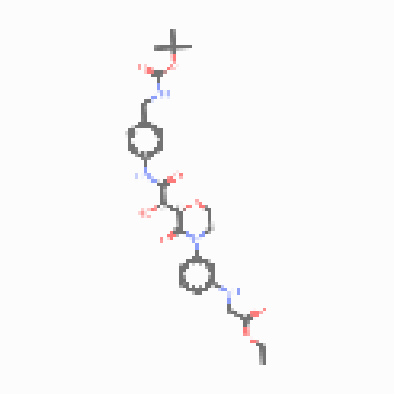 CCOC(=O)CNc1cccc(N2CCO[C@H]([C@@H](O)C(=O)Nc3ccc(CNC(=O)OC(C)(C)C)cc3)C2=O)c1